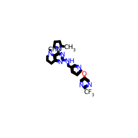 CC1CCCN1c1nc(NCc2ccc(Oc3cnc(C(F)(F)F)nc3)nc2)nc2c1N(C=O)CCC2